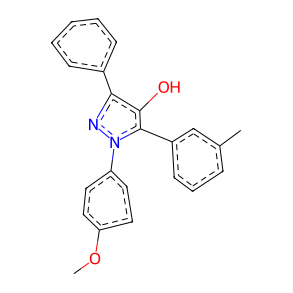 COc1ccc(-n2nc(-c3ccccc3)c(O)c2-c2cccc(C)c2)cc1